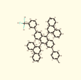 Cc1ccc(-c2ccc3c(-c4cc5ccccc5c5ccccc45)c4cc(-c5cccc(C(F)(F)F)c5)ccc4c(-c4cc5ccccc5c5ccccc45)c3c2)cc1